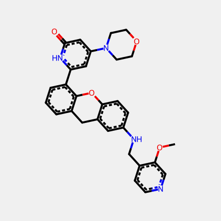 COc1cnccc1CNc1ccc2c(c1)Cc1cccc(-c3cc(N4CCOCC4)cc(=O)[nH]3)c1O2